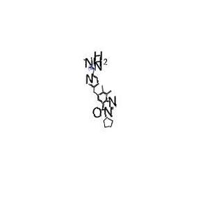 CN/C=C(\N)c1ccc(Cc2cc3c(=O)n(C4CCCC4)cnc3c(C)c2C)cn1